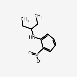 CCC(CC)Nc1ccccc1[N+](=O)[O-]